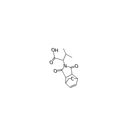 CC(C)C(C(=O)O)N1C(=O)C2C3C=CC(CC3)C2C1=O